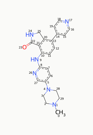 CN1CCN(c2ccc(Nc3ccc(-c4ccncc4)c4c3C(=O)NC4)nc2)CC1